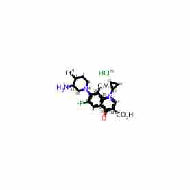 CCC1CCN(c2c(F)cc3c(=O)c(C(=O)O)cn(C4CC4)c3c2OC)CC1N.Cl